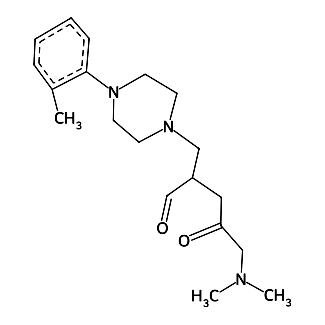 Cc1ccccc1N1CCN(CC(C=O)CC(=O)CN(C)C)CC1